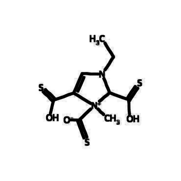 CCN1C=C(C(O)=S)[N+](C)(C([O-])=S)C1C(O)=S